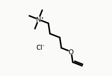 C=COCCCC[N+](C)(C)C.[Cl-]